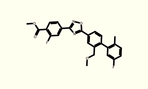 COCc1cc(-c2nc(-c3ccc(C(=O)OC)c(F)c3)no2)ccc1-c1cc(F)ccc1C